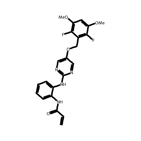 C=CC(=O)Nc1ccccc1Nc1ncc(OCc2c(F)c(OC)cc(OC)c2F)cn1